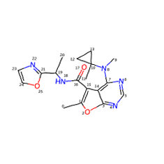 Cc1oc2ncnc(N(C)C3(C)CC3)c2c1C(=O)NC(C)c1ncco1